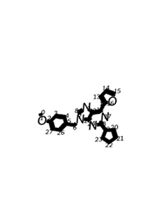 COc1ccc(Cn2cnc3c(-c4ccco4)nc(C4C=CCC4)nc32)cc1